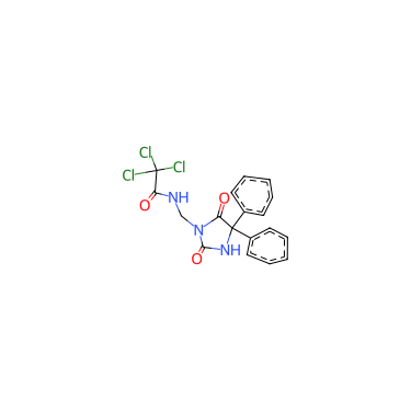 O=C1NC(c2ccccc2)(c2ccccc2)C(=O)N1CNC(=O)C(Cl)(Cl)Cl